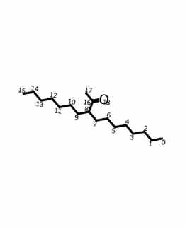 CCCCCCCCC(CCCCCCC)C(C)=O